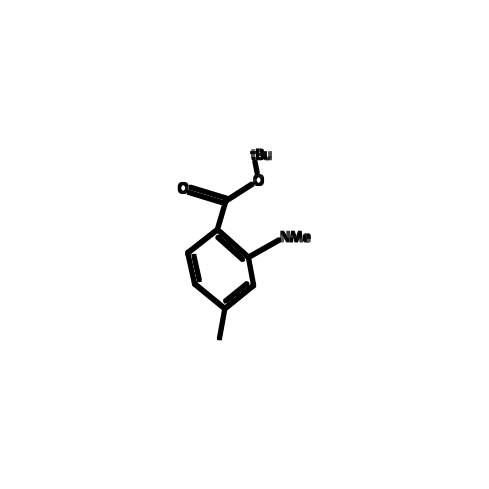 CNc1cc(C)ccc1C(=O)OC(C)(C)C